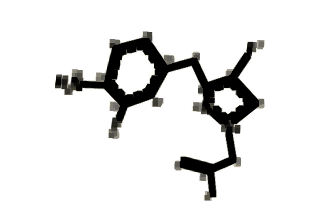 C=C(C)Cn1cc(F)c(Cc2ccc(N)c(F)c2)n1